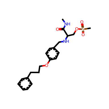 CNC(=O)C(COS(C)(=O)=O)NCc1ccc(OCCCc2ccccc2)cc1